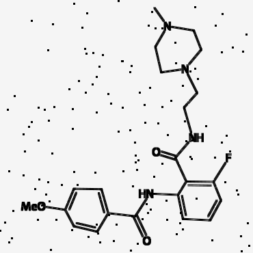 COc1ccc(C(=O)Nc2cccc(F)c2C(=O)NCCN2CCN(C)CC2)cc1